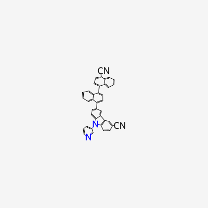 N#Cc1ccc2c(c1)c1cc(-c3ccc(-c4ccc(C#N)c5ccccc45)c4ccccc34)ccc1n2-c1cccnc1